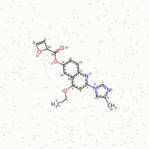 CCOc1cc(-n2cnc(C)c2)nc2ccc(OC(=O)C3C=CO3)cc12